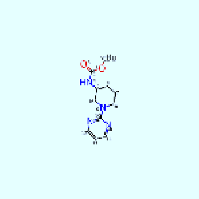 CC(C)(C)OC(=O)NC1CCCN(c2ncccn2)C1